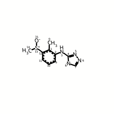 Cc1c(NC2=NN=C[N]2)cccc1[S+](C)[O-]